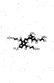 CCCCCCCCCCCCOC(=O)c1c2cc(-c3sc(C)c4sc(C(=O)OCC(CC)CCCC)c(F)c34)sc2c(C(=O)OCCCCCCCCCCCC)c2cc(C)sc12